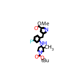 COC(=O)c1cncc(Cc2ccc(F)cc2NC2CCN(C(=O)OC(C)(C)C)CC2C)c1